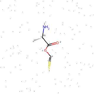 C[C@H](N)C(=O)OC=S